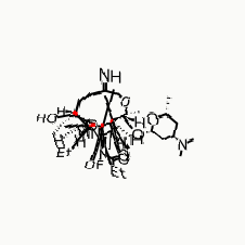 CCC(=O)/N=C1/N[C@H](C)[C@H]2CCC(=N)CO[C@](C)(C[C@H]1C)[C@H](O[C@H]1C[C@@H](N(C)C)C[C@@H](C)O1)[C@@H](C)C(=O)[C@](C)(F)C(=O)O[C@H](CC)[C@@]2(C)O